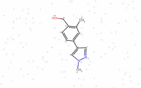 Cc1cc(-c2cnn(C)c2)ccc1CO